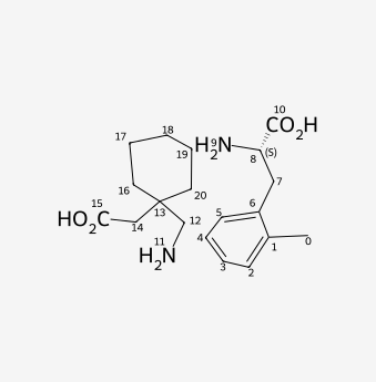 Cc1ccccc1C[C@H](N)C(=O)O.NCC1(CC(=O)O)CCCCC1